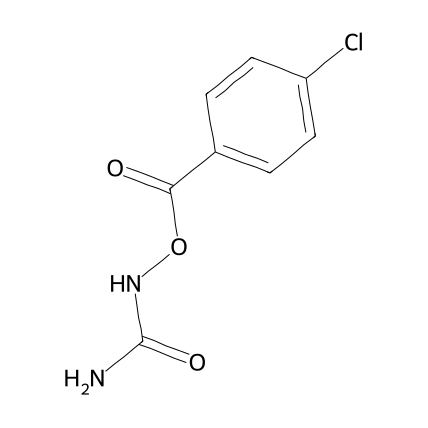 NC(=O)NOC(=O)c1ccc(Cl)cc1